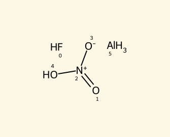 F.O=[N+]([O-])O.[AlH3]